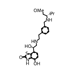 COC[C@@H](NCc1cccc(CCNC[C@H](O)c2ccc(O)c3[nH]c(=O)sc23)c1)C(C)C